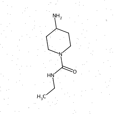 CCNC(=O)N1CCC(N)CC1